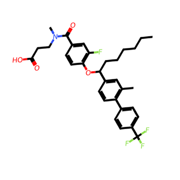 CCCCCCC(Oc1ccc(C(=O)N(C)CCC(=O)O)cc1F)c1ccc(-c2ccc(C(F)(F)F)cc2)c(C)c1